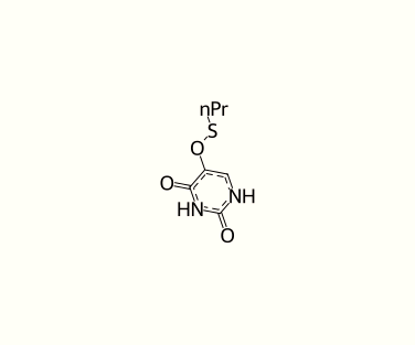 CCCSOc1c[nH]c(=O)[nH]c1=O